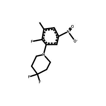 Cc1cc([N+](=O)[O-])cc(N2CCC(F)(F)CC2)c1F